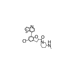 CNC1CCCN(C(=O)C2Cc3cc(Cl)cc(-c4ccnc5ccsc45)c3O2)C1